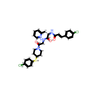 O=C(C=Cc1ccc(Cl)cc1)N[C@@H](Cc1ccccn1)C(=O)NCC(=O)N1CCC(Sc2ccc(Cl)cc2)CC1